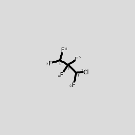 F[C](Cl)C(F)(F)C(F)F